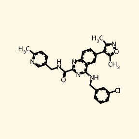 Cc1ccc(CNC(=O)c2nc(NCc3cccc(Cl)c3)c3cc(-c4c(C)noc4C)ccc3n2)cn1